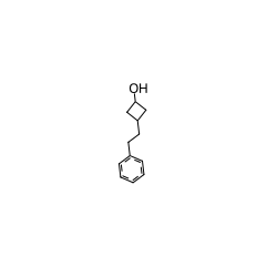 OC1CC(CCc2ccccc2)C1